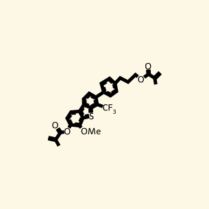 C=C(C)C(=O)OCCCc1ccc(-c2ccc3c(sc4c(OC)c(OC(=O)C(=C)C)ccc43)c2C(F)(F)F)cc1